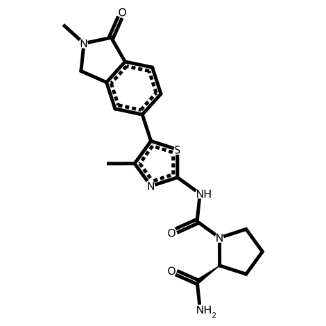 Cc1nc(NC(=O)N2CCC[C@H]2C(N)=O)sc1-c1ccc2c(c1)CN(C)C2=O